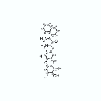 NC(Cc1cc(I)c(Oc2cc(I)c(O)c(I)c2)c(I)c1)C(=O)N(N)c1cccc2ccccc12